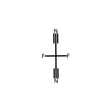 N#CC(F)(F)C#N